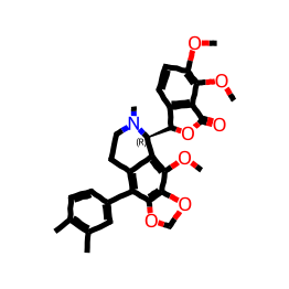 COc1ccc2c(c1OC)C(=O)OC2[C@H]1c2c(c(-c3ccc(C)c(C)c3)c3c(c2OC)OCO3)CCN1C